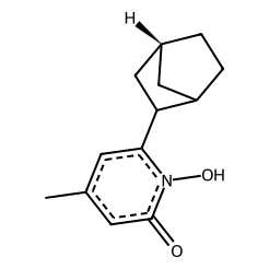 Cc1cc(C2C[C@@H]3CCC2C3)n(O)c(=O)c1